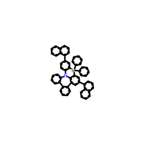 c1ccc([Si]2(c3ccccc3)c3cc(-c4cccc5ccccc45)ccc3N3c4ccccc4-c4ccccc4-c4cc(-c5cccc6ccccc56)cc2c43)cc1